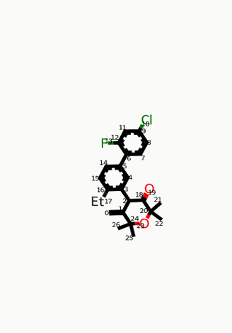 C=C1C(c2cc(-c3ccc(Cl)cc3F)ccc2CC)C(=O)C(C)(C)OC1(C)C